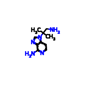 CC(C)(CN)n1cnc2c(N)nccc21